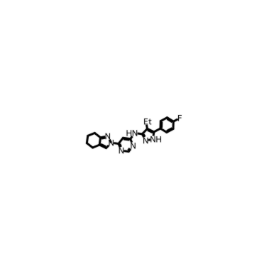 CCc1c(Nc2cc(-n3cc4c(n3)CCCC4)ncn2)n[nH]c1-c1ccc(F)cc1